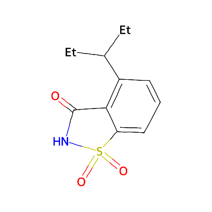 CCC(CC)c1cccc2c1C(=O)NS2(=O)=O